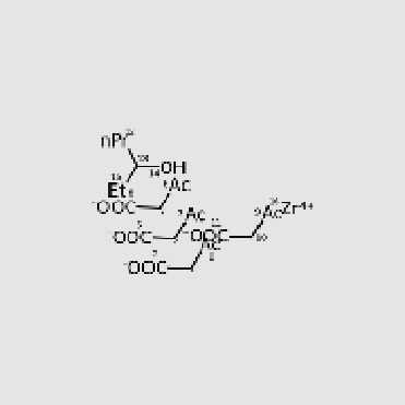 CC(=O)CC(=O)[O-].CC(=O)CC(=O)[O-].CC(=O)CC(=O)[O-].CC(=O)CC(=O)[O-].CCCC(O)CC.[Zr+4]